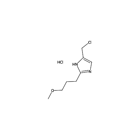 COCCCc1ncc(CCl)[nH]1.Cl